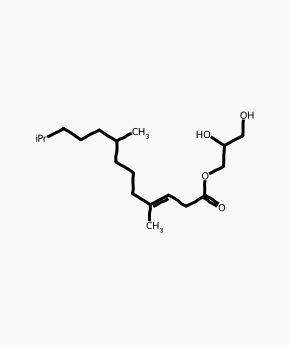 CC(=CCC(=O)OCC(O)CO)CCCC(C)CCCC(C)C